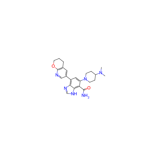 CN(C)C1CCN(c2cc(-c3cnc4c(c3)CCCO4)c3nc[nH]c3c2C(N)=O)CC1